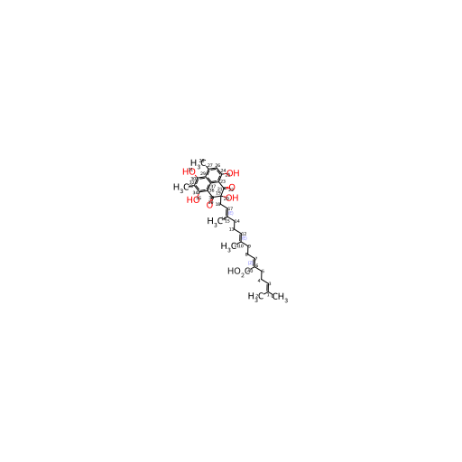 CC(C)=CCC/C(=C/CC/C(C)=C/CC/C(C)=C/CC1(O)C(=O)c2c(O)cc(C)c3c(O)c(C)c(O)c(c23)C1=O)C(=O)O